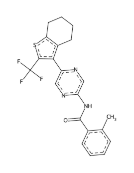 Cc1ccccc1C(=O)Nc1cnc(-c2c(C(F)(F)F)sc3c2CCCC3)cn1